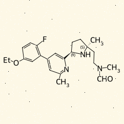 CCOc1ccc(F)c(-c2cc(C)nc([C@H]3CC[C@@](C)(CCN(C)C=O)N3)c2)c1